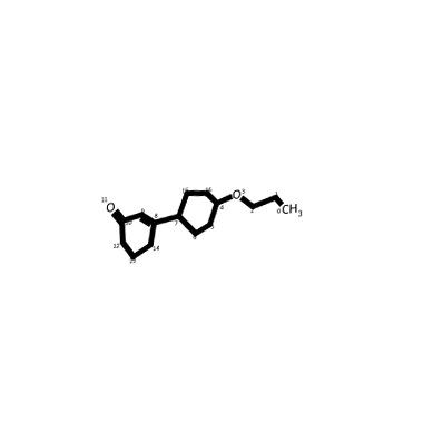 CCCOC1CCC(C2=CC(=O)CCC2)CC1